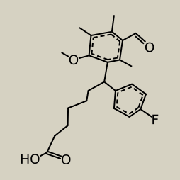 COc1c(C)c(C)c(C=O)c(C)c1C(CCCCCC(=O)O)c1ccc(F)cc1